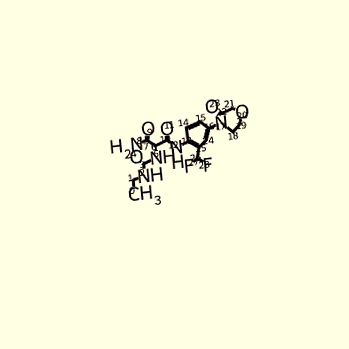 CCNC(=O)N[C@@H](C(N)=O)C(=O)Nc1ccc(N2CCOCC2=O)cc1C(F)F